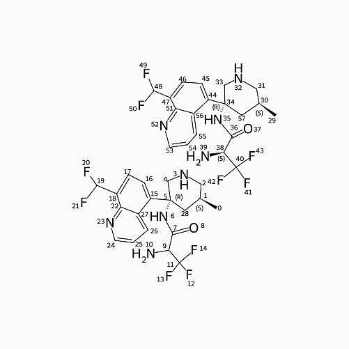 C[C@@H]1CNC[C@](NC(=O)C(N)C(F)(F)F)(c2ccc(C(F)F)c3ncccc23)C1.C[C@@H]1CNC[C@](NC(=O)[C@H](N)C(F)(F)F)(c2ccc(C(F)F)c3ncccc23)C1